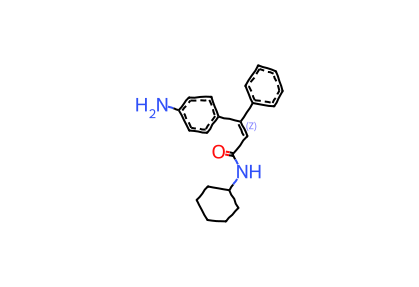 Nc1ccc(/C(=C\C(=O)NC2CCCCC2)c2ccccc2)cc1